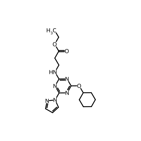 CCOC(=O)CCNc1nc(OC2CCCCC2)nc(-n2cccn2)n1